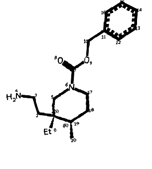 CC[C@@]1(CCN)CN(C(=O)OCc2ccccc2)CC[C@H]1C